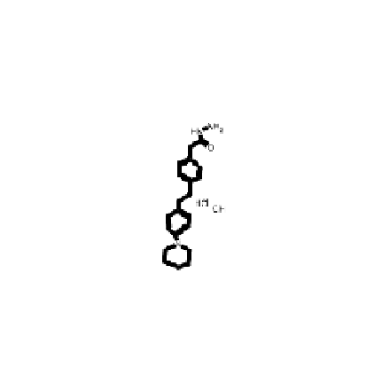 Cl.Cl.NNC(=O)Cc1ccc(CCc2ccc(N3CCCCC3)cc2)cc1